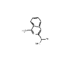 Cc1cc(C(C)C=O)cc2ccccc12